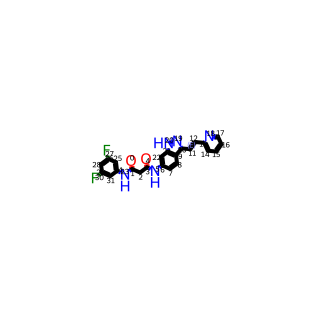 O=C(CC(=O)Nc1ccc2c(/C=C/c3ccccn3)n[nH]c2c1)Nc1cc(F)cc(F)c1